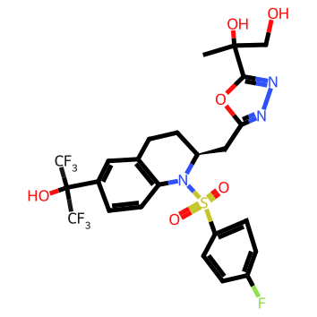 CC(O)(CO)c1nnc(C[C@@H]2CCc3cc(C(O)(C(F)(F)F)C(F)(F)F)ccc3N2S(=O)(=O)c2ccc(F)cc2)o1